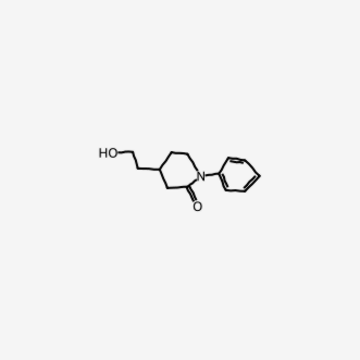 O=C1CC(CCO)CCN1c1ccccc1